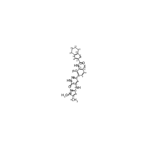 Cc1cc(Nc2cc(-c3ccc(F)c(NC(=O)c4cc5c(s4)CCCC5)c3F)n[nH]c2=O)nn1C